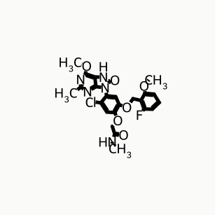 CNC(=O)COc1cc(Cl)c(-n2c(=O)[nH]c3c(OC)nc(C)nc32)cc1OCc1c(F)cccc1OC